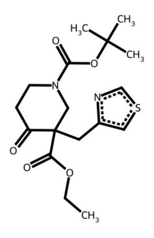 CCOC(=O)C1(Cc2cscn2)CN(C(=O)OC(C)(C)C)CCC1=O